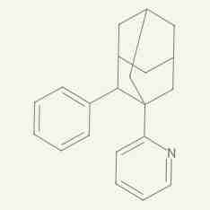 c1ccc(C2C3CC4CC(C3)CC2(c2ccccn2)C4)cc1